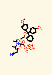 COc1ccc(C(OCCS(=O)(=O)C(COP(=O)(O)O)(OCCC#N)N(C(C)C)C(C)C)(c2ccccc2)c2ccc(OC)cc2)cc1